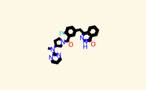 CN(c1ncccn1)C1CCN(C(=O)c2cc(Cc3n[nH]c(=O)c4ccccc34)ccc2F)C1